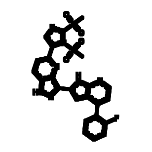 CS(=O)(=O)c1ncc(-c2ccc3[nH]nc(-c4cc5c(-c6ccccc6F)ccnc5[nH]4)c3n2)n1S(C)(=O)=O